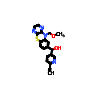 C#Cc1ccc(C(O)c2ccc3c(c2)N(COC)c2nccnc2S3)cn1